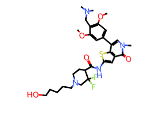 COc1cc(-c2cn(C)c(=O)c3cc(NC(=O)C4CCN(CCCCCO)CC4(F)F)sc23)cc(OC)c1CN(C)C